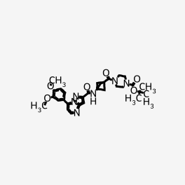 COc1ccc(-c2ccnc3cc(C(=O)NC45CC(C(=O)N6CCN(C(=O)OC(C)(C)C)CC6)(C4)C5)nn23)cc1OC